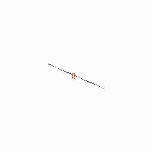 CCCCCCCCCCCCCCCCCCCCCCCC(=O)OCCCCCCCCCCCCCCCCCCCC